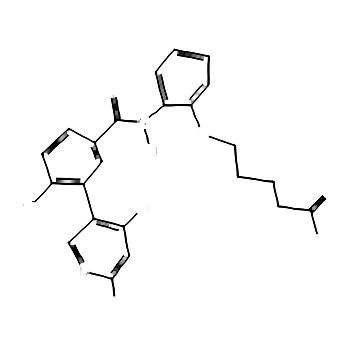 Cc1cc(Cl)ncc1-c1cc(C(=O)N(C)c2ccccc2OCCCCC(=O)O)ccc1Cl